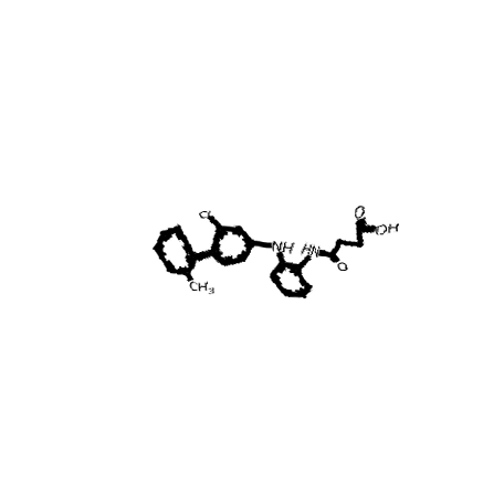 Cc1ccccc1-c1ccc(Nc2ccccc2NC(=O)CCC(=O)O)cc1Cl